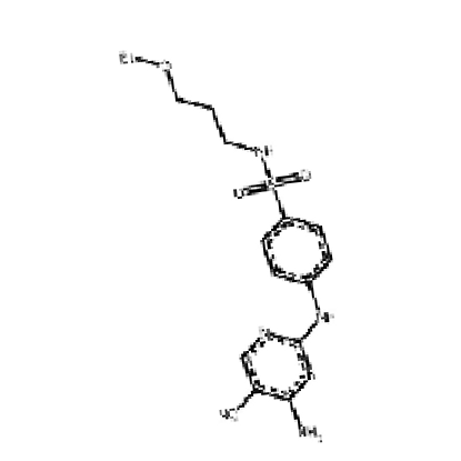 CCOCCCNS(=O)(=O)c1ccc(Nc2ncc(C#N)c(N)n2)cc1